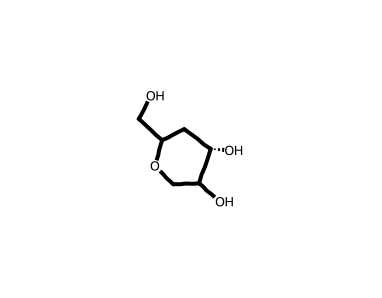 OCC1C[C@H](O)C(O)CO1